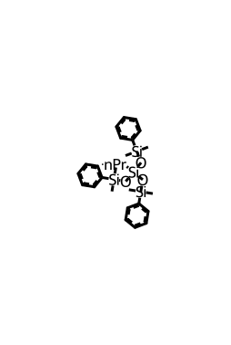 CC[CH][Si](O[Si](C)(C)c1ccccc1)(O[Si](C)(C)c1ccccc1)O[Si](C)(C)c1ccccc1